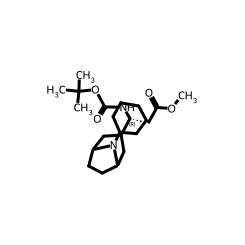 COC(=O)C[C@@H](NC(=O)OC(C)(C)C)C1CC2CCC(C1)N2C1CCCCC1